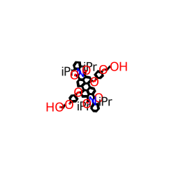 CC(C)c1cccc(C(C)C)c1N1C(=O)c2ccc3c4c(Oc5ccc(OCCO)cc5)cc5c6c(ccc(c7c(Oc8ccc(OCCO)cc8)cc(c2c37)C1=O)c64)C(=O)N(c1c(C(C)C)cccc1C(C)C)C5=O